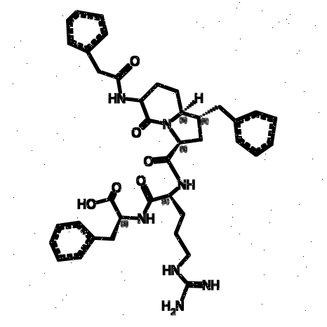 N=C(N)NCCC[C@H](NC(=O)[C@@H]1C[C@@H](Cc2ccccc2)[C@@H]2CCC(NC(=O)Cc3ccccc3)C(=O)N12)C(=O)N[C@@H](Cc1ccccc1)C(=O)O